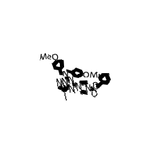 COc1ccc(CN(Cc2ccc(OC)cc2)c2nc(N3CCN(C(=O)OCc4ccccc4)CC3)nc3c(I)cnn23)cc1